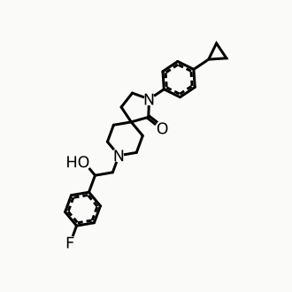 O=C1N(c2ccc(C3CC3)cc2)CCC12CCN(CC(O)c1ccc(F)cc1)CC2